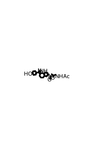 CC(=O)NCC1CN(c2ccc3c(c2)CCCc2c(-c4ccc(O)cc4)n[nH]c2-3)C(=O)O1